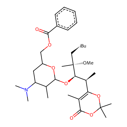 CC[C@H](C)C[C@@](C)(OC)[C@H](OC1OC(COC(=O)c2ccccc2)CC(N(C)C)C1C)[C@@H](C)C1=C(C)C(=O)OC(C)(C)O1